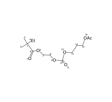 CCC(C)(C)C(=O)OCCOC(=O)OCCCOC(C)=O